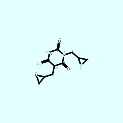 O=C1NC(=O)N(CC2CO2)C(=O)C1CC1CO1